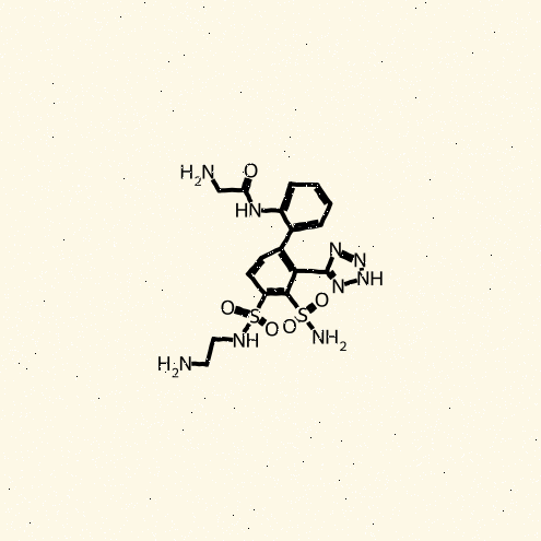 NCCNS(=O)(=O)c1ccc(-c2ccccc2NC(=O)CN)c(-c2nn[nH]n2)c1S(N)(=O)=O